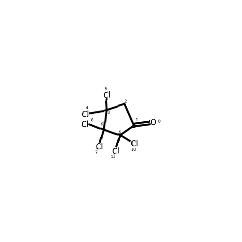 O=C1CC(Cl)(Cl)C(Cl)(Cl)C1(Cl)Cl